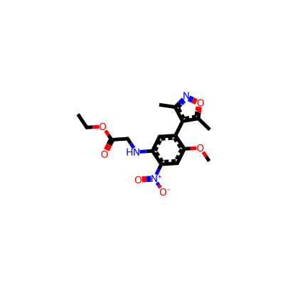 CCOC(=O)CNc1cc(-c2c(C)noc2C)c(OC)cc1[N+](=O)[O-]